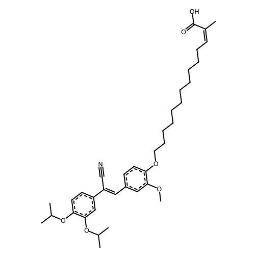 COc1cc(C=C(C#N)c2ccc(OC(C)C)c(OC(C)C)c2)ccc1OCCCCCCCCCCCC=C(C)C(=O)O